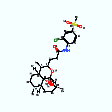 C[C@H]1[C@@H](CCC(=O)Nc2ccc(S(C)(=O)=O)cc2Cl)O[C@@H]2O[C@]3(C)CC[C@H]4[C@H](C)CC[C@@H]1[C@@]24OO3